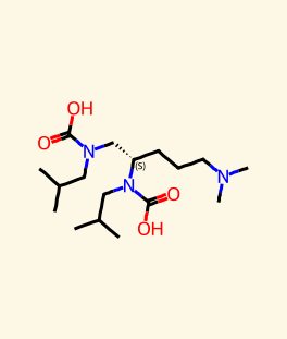 CC(C)CN(C[C@H](CCCN(C)C)N(CC(C)C)C(=O)O)C(=O)O